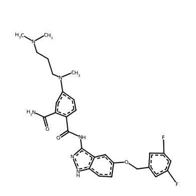 CN(C)CCCN(C)c1ccc(C(=O)Nc2n[nH]c3ccc(OCc4cc(F)cc(F)c4)cc23)c(C(N)=O)c1